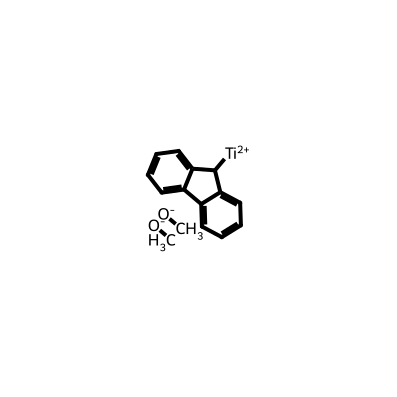 C[O-].C[O-].[Ti+2][CH]1c2ccccc2-c2ccccc21